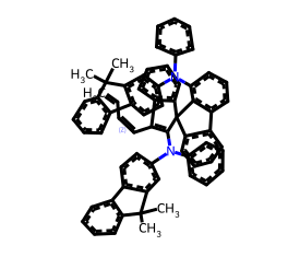 C=C/C=C\C1=C(N(c2ccccc2)c2ccc3c(c2)C(C)(C)c2ccccc2-3)C2(c3ccccc31)c1ccccc1-c1cccc(N(c3ccccc3)c3ccc4c(c3)C(C)(C)c3ccccc3-4)c12